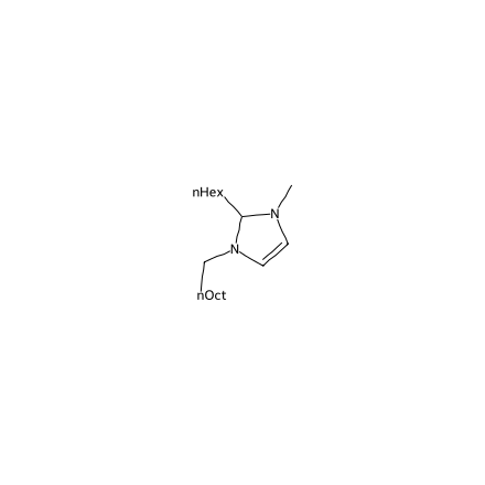 CCCCCCCCCN1C=CN(C)C1CCCCCC